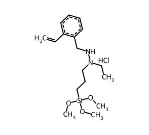 C=Cc1ccccc1CNN(CC)CCC[Si](OC)(OC)OC.Cl